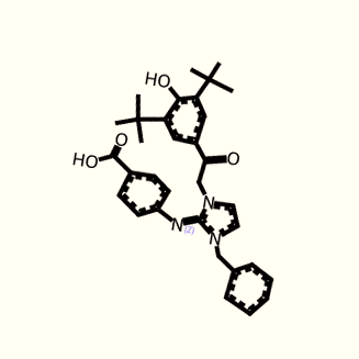 CC(C)(C)c1cc(C(=O)Cn2ccn(Cc3ccccc3)/c2=N/c2ccc(C(=O)O)cc2)cc(C(C)(C)C)c1O